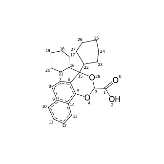 O=C(O)C1Oc2c(ccc3ccccc23)C(C2CCCCC2)(C2CCCCC2)O1